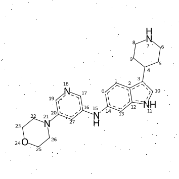 c1cc2c(C3CCNCC3)c[nH]c2cc1Nc1cncc(N2CCOCC2)c1